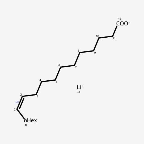 CCCCCC/C=C\CCCCCCCCCC(=O)[O-].[Li+]